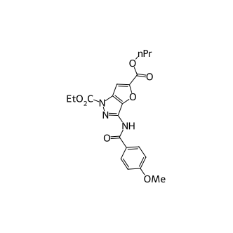 CCCOC(=O)c1cc2c(o1)c(NC(=O)c1ccc(OC)cc1)nn2C(=O)OCC